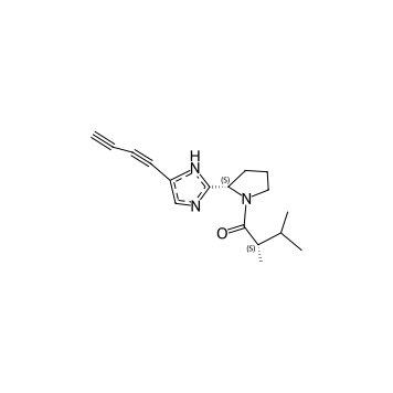 C#CC#Cc1cnc([C@@H]2CCCN2C(=O)[C@@H](C)C(C)C)[nH]1